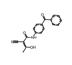 CC(O)=C(C#N)C(=O)Nc1ccc(C(=O)c2ccccc2)cc1